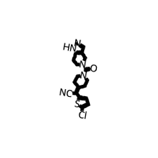 N#CC(=C1CCN(C(=O)N2CCc3[nH]ncc3C2)CC1)c1ccc(Cl)s1